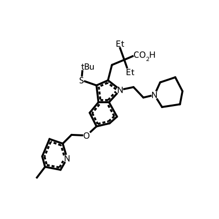 CCC(CC)(Cc1c(SC(C)(C)C)c2cc(OCc3ccc(C)cn3)ccc2n1CCN1CCCCC1)C(=O)O